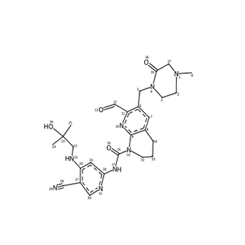 CN1CCN(Cc2cc3c(nc2C=O)N(C(=O)Nc2cc(NCC(C)(C)O)c(C#N)cn2)CCC3)C(=O)C1